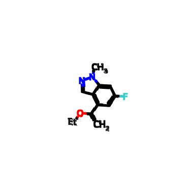 C=C(OCC)c1cc(F)cc2c1cnn2C